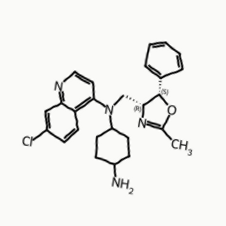 CC1=N[C@H](CN(c2ccnc3cc(Cl)ccc23)C2CCC(N)CC2)[C@H](c2ccccc2)O1